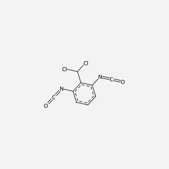 O=C=Nc1cccc(N=C=O)c1C(Cl)Cl